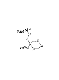 CCCC1(CCNC)CCC1